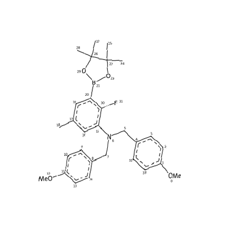 COc1ccc(CN(Cc2ccc(OC)cc2)c2cc(C)cc(B3OC(C)(C)C(C)(C)O3)c2F)cc1